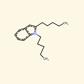 CCCCCc1cc2ccccc2n1CCCCC